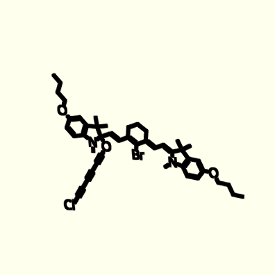 CCCCOc1ccc2c(c1)C(C)(C)/C(=C/C=C1\CCCC(/C=C/C3(OC#CC#CC#CCl)N(C)c4ccc(OCCCC)cc4C3(C)C)=C1Br)N2C